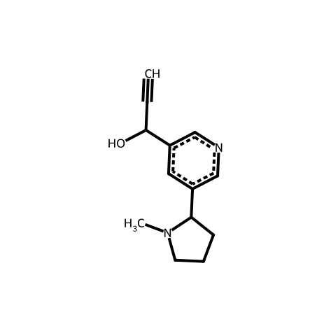 C#CC(O)c1cncc(C2CCCN2C)c1